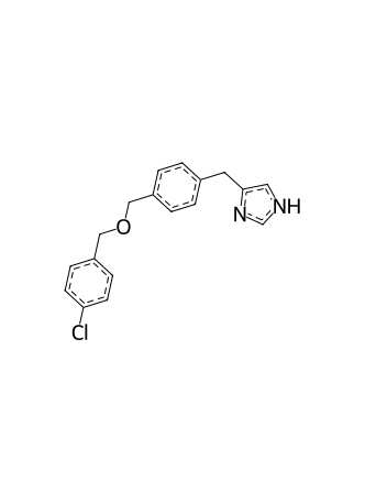 Clc1ccc(COCc2ccc(Cc3c[nH]cn3)cc2)cc1